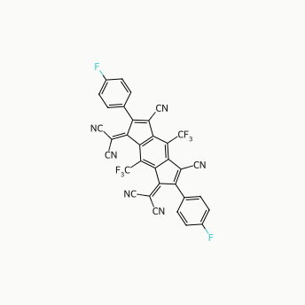 N#CC(C#N)=C1C(c2ccc(F)cc2)=C(C#N)c2c1c(C(F)(F)F)c1c(c2C(F)(F)F)C(C#N)=C(c2ccc(F)cc2)C1=C(C#N)C#N